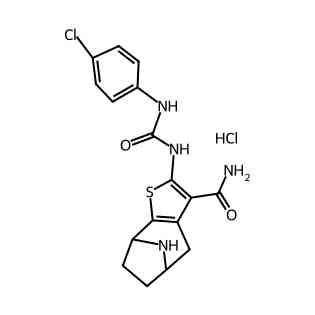 Cl.NC(=O)c1c(NC(=O)Nc2ccc(Cl)cc2)sc2c1CC1CCC2N1